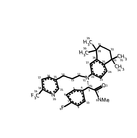 CNC(=O)[C@H](c1ccc(F)cc1)N(CCCc1ccc(C(F)(F)F)nc1)c1ccc2c(c1)C(C)(C)CCC2(C)C